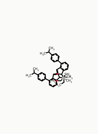 C[CH2][Hf]([CH3])([CH3])(=[SiH2])([CH2]C)([CH]1C=Cc2c(-c3ccc(C(C)C)cc3)cccc21)[CH]1C=Cc2c(-c3ccc(C(C)C)cc3)cccc21